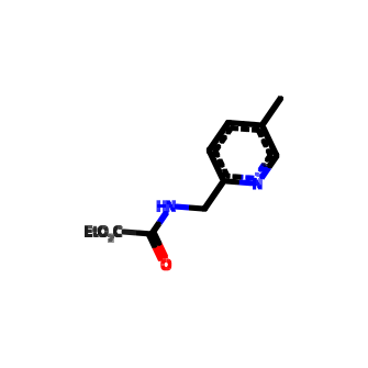 CCOC(=O)C(=O)NCc1ccc(C)cn1